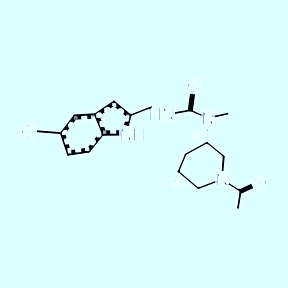 CC(=O)N1C[C@H](C)C[C@H](N(C)C(=O)NCc2cc3cc(Cl)ccc3[nH]2)C1